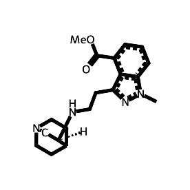 COC(=O)c1cccc2c1c(CCN[C@@H]1CN3CCC1CC3)nn2C